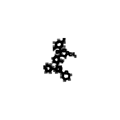 COCN(c1cccc(-c2nn(C3CCCCO3)cc2-c2ccncc2)c1F)S(=O)(=O)c1cc(F)ccc1F